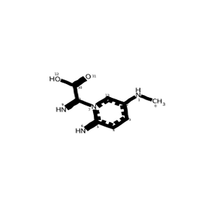 CNc1ccc(=N)n(C(=N)C(=O)O)c1